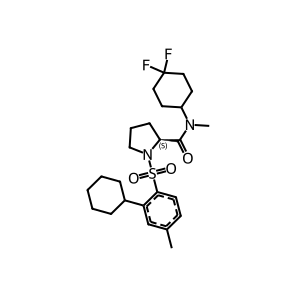 Cc1ccc(S(=O)(=O)N2CCC[C@H]2C(=O)N(C)C2CCC(F)(F)CC2)c(C2CCCCC2)c1